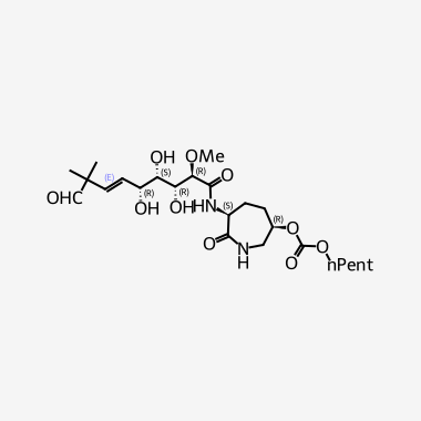 CCCCCOC(=O)O[C@@H]1CC[C@H](NC(=O)[C@H](OC)[C@H](O)[C@@H](O)[C@H](O)/C=C/C(C)(C)C=O)C(=O)NC1